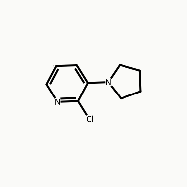 Clc1nc[c]cc1N1CCCC1